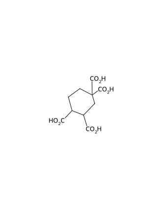 O=C(O)C1CCC(C(=O)O)(C(=O)O)CC1C(=O)O